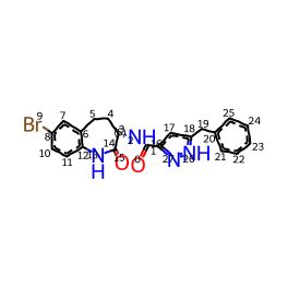 O=C(N[C@H]1CCc2cc(Br)ccc2NC1=O)c1cc(Cc2ccccc2)[nH]n1